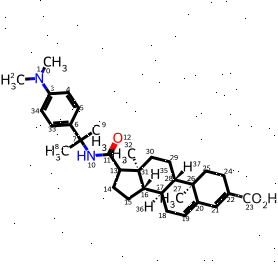 CN(C)c1ccc(C(C)(C)NC(=O)C2CC[C@H]3[C@@H]4CC=C5C=C(C(=O)O)CC[C@]5(C)[C@H]4CC[C@]23C)cc1